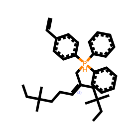 C=Cc1ccc([PH](C/C(=C\CCC(C)(C)CC)CC(C)(C)CC)(c2ccccc2)c2ccccc2)cc1